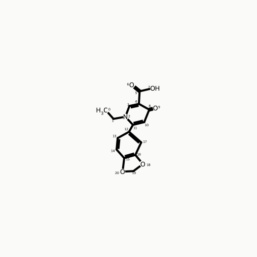 CCn1cc(C(=O)O)c(=O)cc1-c1ccc2c(c1)OCO2